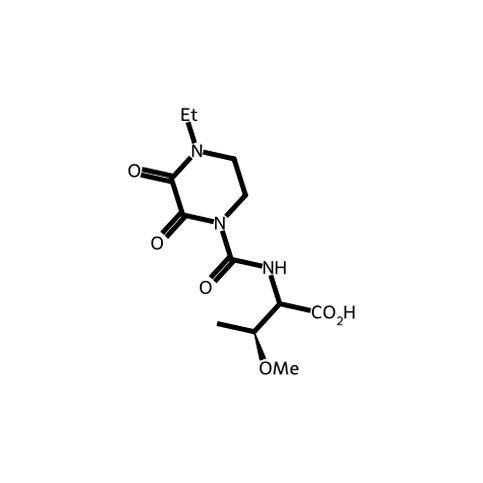 CCN1CCN(C(=O)NC(C(=O)O)[C@H](C)OC)C(=O)C1=O